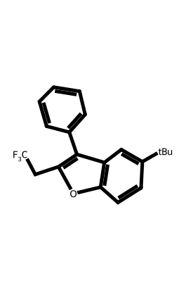 CC(C)(C)c1ccc2oc(CC(F)(F)F)c(-c3ccccc3)c2c1